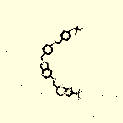 O=[N+]([O-])c1cn2c(n1)OC(COc1ccc3c(c1)CN(Cc1ccc(OCc4ccc(OC(F)(F)F)cc4)cc1)C3)CC2